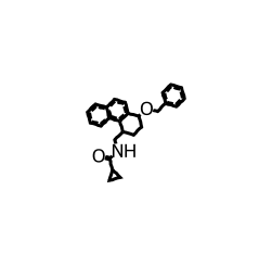 O=C(NCC1CCC(OCc2ccccc2)c2ccc3ccccc3c21)C1CC1